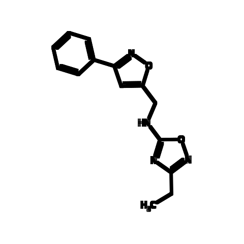 CCc1noc(NCc2cc(-c3ccccc3)no2)n1